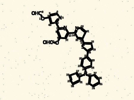 O=COc1ccnc(-c2cc(OC=O)cc(-c3cc(-c4ccc(-c5ccc(N(c6ccccc6)c6ccccc6)cc5)s4)ccn3)n2)c1